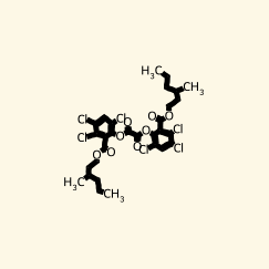 CCCC(C)CCOC(=O)c1c(Cl)c(Cl)cc(Cl)c1OC(=O)C(=O)Oc1c(Cl)cc(Cl)c(Cl)c1C(=O)OCCC(C)CCC